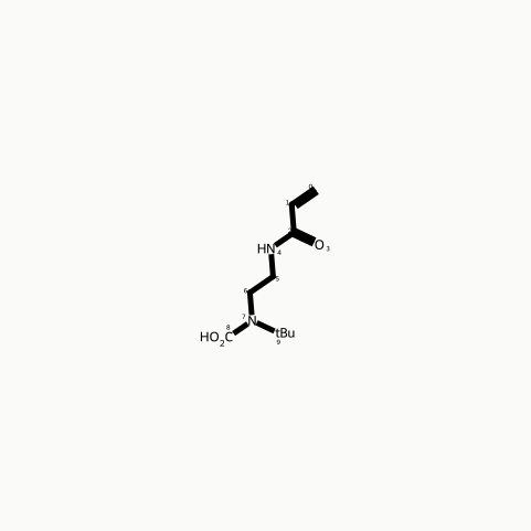 C=CC(=O)NCCN(C(=O)O)C(C)(C)C